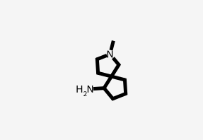 CN1CCC2(CCCC2N)C1